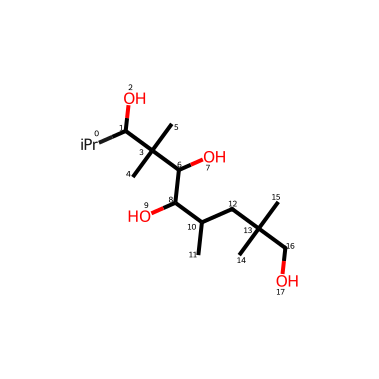 CC(C)C(O)C(C)(C)C(O)C(O)C(C)CC(C)(C)CO